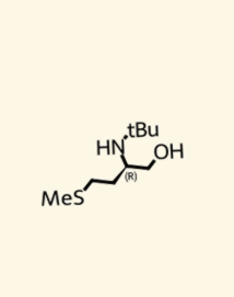 CSCC[C@H](CO)NC(C)(C)C